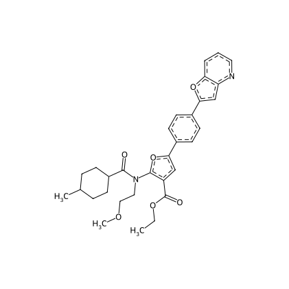 CCOC(=O)c1cc(-c2ccc(-c3cc4ncccc4o3)cc2)oc1N(CCOC)C(=O)C1CCC(C)CC1